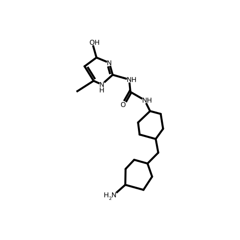 CC1=CC(O)N=C(NC(=O)NC2CCC(CC3CCC(N)CC3)CC2)N1